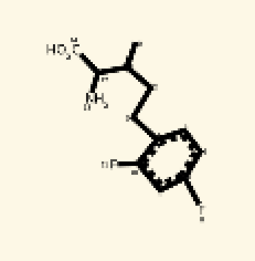 CC(CCc1ccc(F)cc1F)C(N)C(=O)O